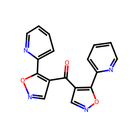 O=C(c1cnoc1-c1ccccn1)c1cnoc1-c1ccccn1